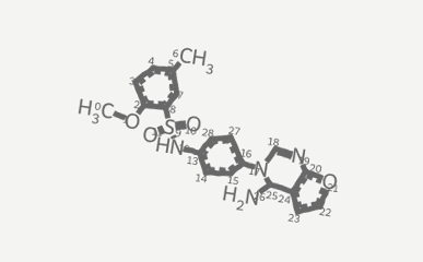 COc1ccc(C)cc1S(=O)(=O)Nc1ccc(N2C=Nc3occc3C2N)cc1